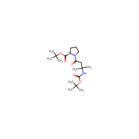 CC(C)(CC(=O)N1CCC[C@@H]1C(=O)OC(C)(C)C)NC(=O)OC(C)(C)C